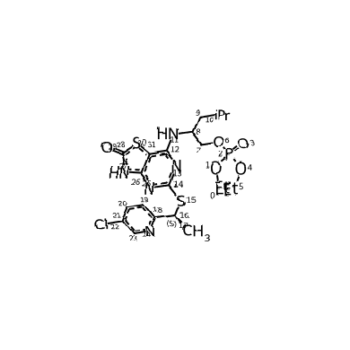 CCOP(=O)(OCC)OCC(CC(C)C)Nc1nc(S[C@@H](C)c2ccc(Cl)cn2)nc2[nH]c(=O)sc12